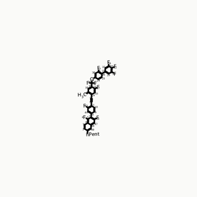 CCCCCc1ccc2c(F)c(-c3ccc(C#Cc4cc(F)c(C(F)(F)Oc5ccc(-c6cc(F)c(F)c(F)c6)c(F)c5)cc4C)c(F)c3)c(F)cc2c1